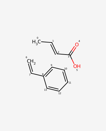 C/C=C/C(=O)O.C=Cc1ccccc1